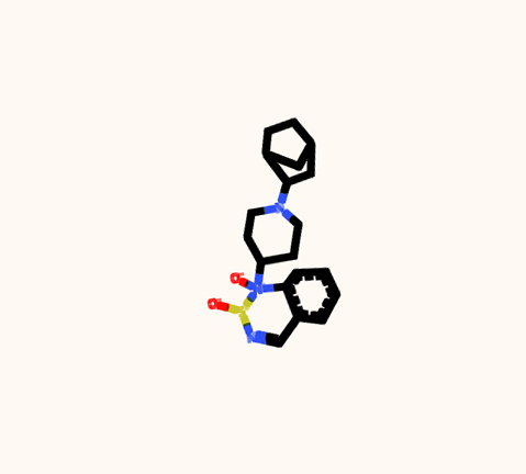 [O-][S+]1N=Cc2ccccc2[N+]1([O-])C1CCN(C2CC3CCC2C3)CC1